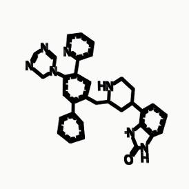 O=C1[N]c2c(cccc2C2CCNC(Cc3cc(-c4ccccn4)c(N4C=NC=NC4)cc3-c3ccccc3)C2)N1